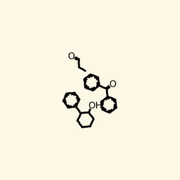 CCC=O.O=C(c1ccccc1)c1ccccc1.OC1CCCCC1c1ccccc1